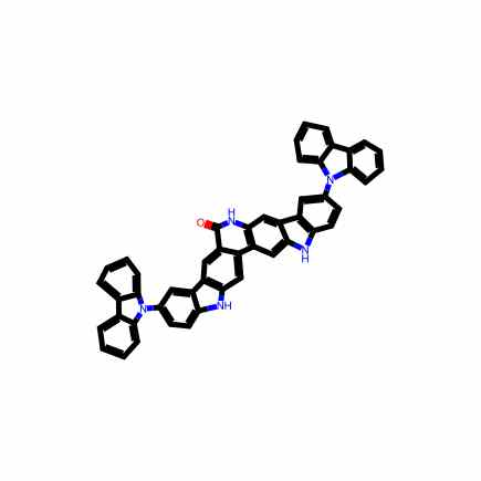 O=c1[nH]c2cc3c(cc2c2cc4[nH]c5ccc(-n6c7ccccc7c7ccccc76)cc5c4cc12)[nH]c1ccc(-n2c4ccccc4c4ccccc42)cc13